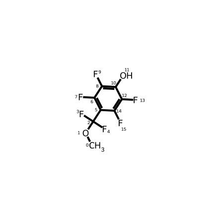 COC(F)(F)c1c(F)c(F)c(O)c(F)c1F